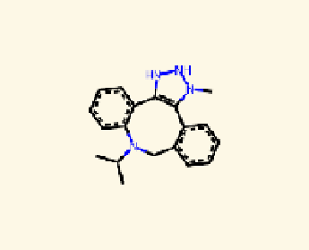 CC(C)N1Cc2ccccc2C2=C(NNN2C)c2ccccc21